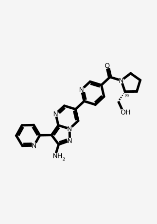 Nc1nn2cc(-c3ccc(C(=O)N4CCC[C@@H]4CO)cn3)cnc2c1-c1ccccn1